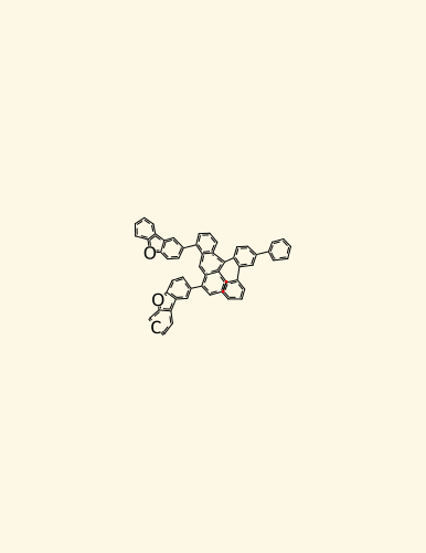 c1ccc(-c2ccc(-c3c4cccc(-c5ccc6oc7ccccc7c6c5)c4cc4c(-c5ccc6oc7ccccc7c6c5)cccc34)c(-c3ccccc3)c2)cc1